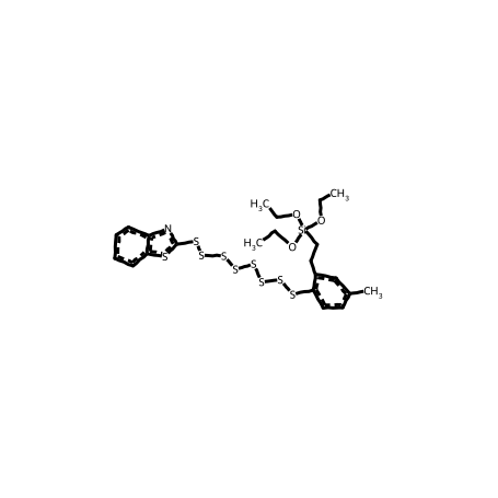 CCO[Si](CCc1cc(C)ccc1SSSSSSSSc1nc2ccccc2s1)(OCC)OCC